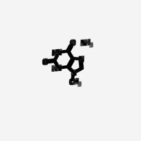 Cn1cnc2c(=O)[nH]c(=O)[nH]c21.N